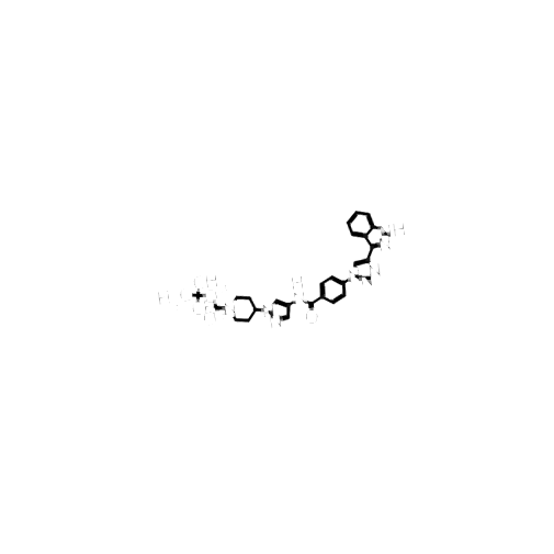 CC(C)(C)OC(=O)N1CCC(n2cc(NC(=O)c3ccc(-n4cc(-c5n[nH]c6ccccc56)nn4)cc3)cn2)CC1